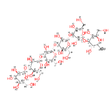 CC(C)(C)C[C@H](O)[C@@H](O[C@@H]1O[C@H](CO)[C@@H](O)[C@H](O[C@@H]2O[C@H](CO)[C@@H](O)[C@H](O[C@@H]3O[C@H](CO)[C@@H](O)[C@H](O[C@@H]4O[C@H](CO)[C@@H](O)[C@H](O[C@@H]5O[C@H](CO)[C@@H](O)[C@H](O)[C@H]5O)[C@H]4O)[C@H]3O)[C@H]2O)[C@H]1O)[C@H](O)[C@H](O)CO